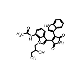 CC(=O)Nc1cccc2c(C3=C(c4c[nH]c5ccccc45)C(=O)NC3=O)cn(CC(O)CO)c12